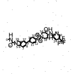 CNC(=O)N1Cc2ccc(-c3ccc(S(=O)(=O)N4CC[C@@H](Nc5ccc(C(F)(F)F)cn5)[C@@H](O)C4)cc3)cc2C1